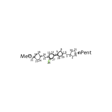 CCCCCC1CCC(CCc2ccc(-c3ccc(CCC4CCC(COC)CC4)c(F)c3)cc2)CC1